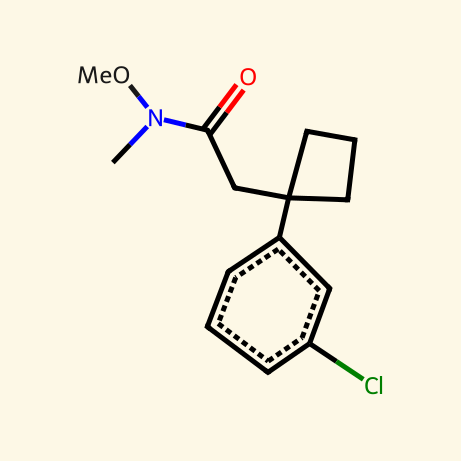 CON(C)C(=O)CC1(c2cccc(Cl)c2)CCC1